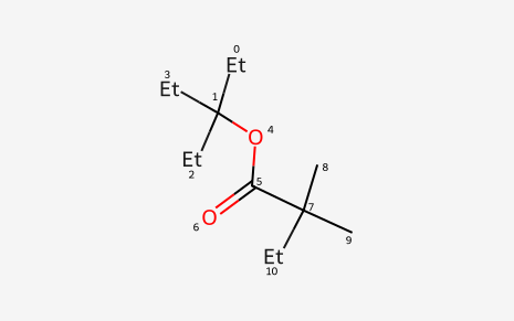 CCC(CC)(CC)OC(=O)C(C)(C)CC